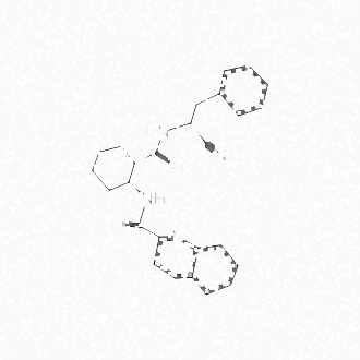 N#C[C@H](Cc1ccccc1)NC(=O)[C@@H]1CCCC[C@@H]1NC(=O)c1ccc2ccccc2n1